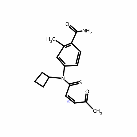 CC(=O)/C=C\C(=S)N(c1ccc(C(N)=O)c(C)c1)C1CCC1